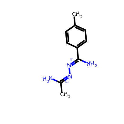 C/C(N)=N/N=C(\N)c1ccc(C)cc1